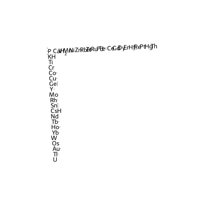 [Au].[CaH2].[Ce].[Co].[Cr].[CsH].[Cu].[Dy].[Er].[Gd].[Ge].[Hf].[Hg].[Ho].[KH].[Mn].[Mo].[Nd].[Ni].[Os].[P].[Pd].[Pt].[RbH].[Re].[Rh].[Ru].[Sn].[Tb].[Te].[Th].[Ti].[Tl].[U].[V].[W].[Y].[Yb].[Zn].[Zr]